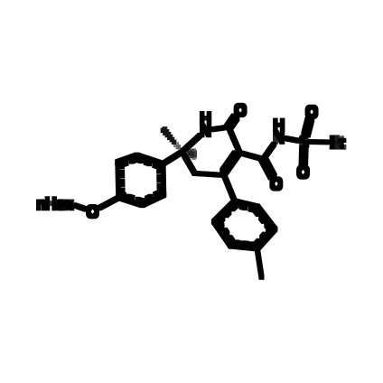 CCCCCCOc1ccc([C@]2(C)CC(c3ccc(C)cc3)=C(C(=O)NS(=O)(=O)CC)C(=O)N2)cc1